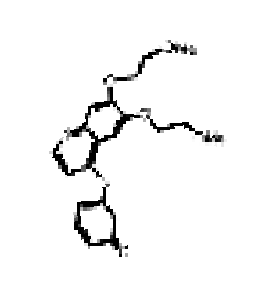 COCCOc1cc2nccc(NC3=CC=CC(=O)C3)c2cc1OCCOC